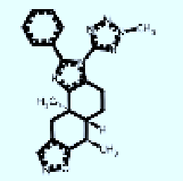 C[C@H]1c2oncc2C[C@@]2(C)c3nc(-c4ccccc4)n(-c4nnn(C)n4)c3CC[C@H]12